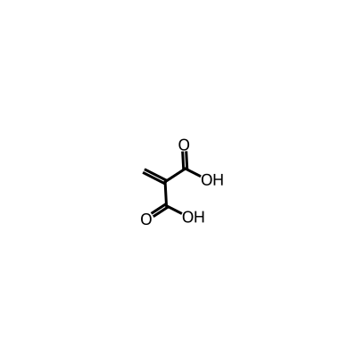 C=C(C(=O)O)C(=O)O